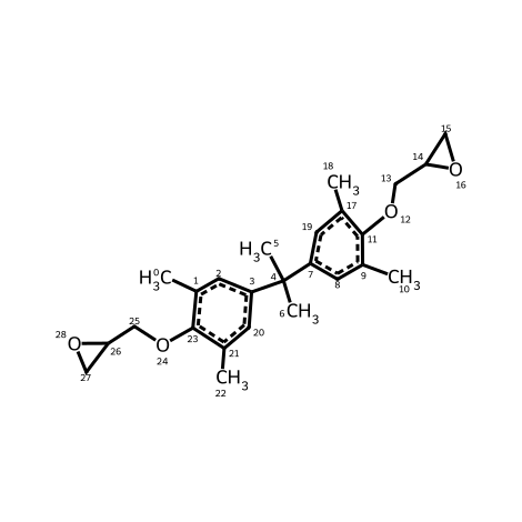 Cc1cc(C(C)(C)c2cc(C)c(OCC3CO3)c(C)c2)cc(C)c1OCC1CO1